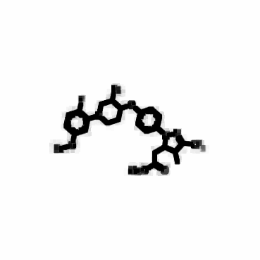 CCOc1ccc(F)c(N2CCC(Oc3ccc(N4N=C(C(F)(F)F)C(C)C4CC(=O)OC)cc3)C(CC)C2)c1